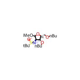 CCCCOC[C@H]1O[C@H](OC)/C(=N\[S+]([O-])C(C)(C)C)[C@@H]1OCCCC